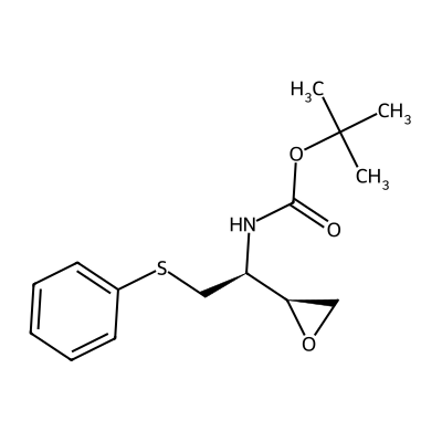 CC(C)(C)OC(=O)N[C@H](CSc1ccccc1)[C@H]1CO1